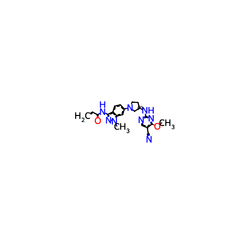 C=CC(=O)Nc1nn(C)c2cc(N3CC[C@@H](Nc4ncc(C#N)c(OC)n4)C3)ccc12